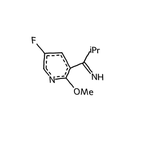 COc1ncc(F)cc1C(=N)C(C)C